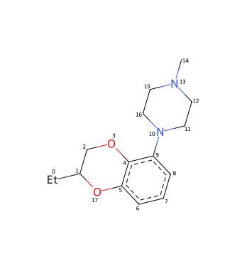 CCC1COc2c(cccc2N2CCN(C)CC2)O1